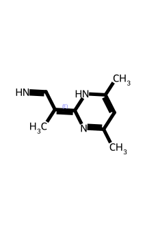 CC1=CC(C)=N/C(=C(\C)C=N)N1